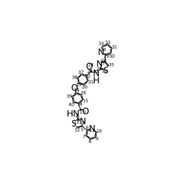 O=C(Nc1nc(-c2ccccn2)cs1)c1ccc(Oc2ccc(C(=O)Nc3nc(-c4ccccn4)cs3)cc2)cc1